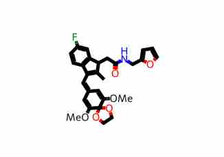 COC1=CC(=CC2=C(C)C(CC(=O)NCc3ccco3)c3cc(F)ccc32)C=C(OC)C12OCCO2